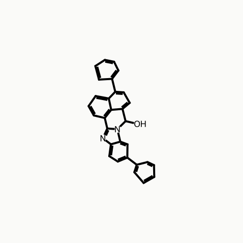 OC1c2ccc(-c3ccccc3)c3cccc(c23)-c2nc3ccc(-c4ccccc4)cc3n21